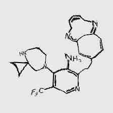 Nc1c(Cc2ccc3nccnc3c2)ncc(C(F)(F)F)c1N1CCNC2(CC2)C1